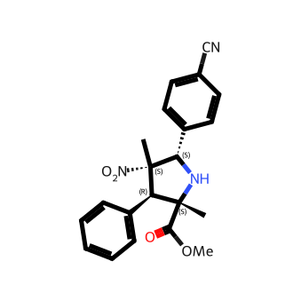 COC(=O)[C@@]1(C)N[C@@H](c2ccc(C#N)cc2)[C@@](C)([N+](=O)[O-])[C@@H]1c1ccccc1